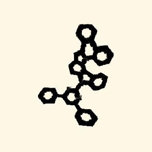 c1ccc(-c2cc(-c3ccccc3)nc(-n3c4ccccc4c4c3ccc3cc5c6ccccc6c6ccccc6n5c34)n2)cc1